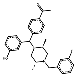 CC(=O)c1ccc(C(c2cccc(O)c2)N2C[C@@H](C)N(Cc3cccc(F)c3)C[C@@H]2C)cc1